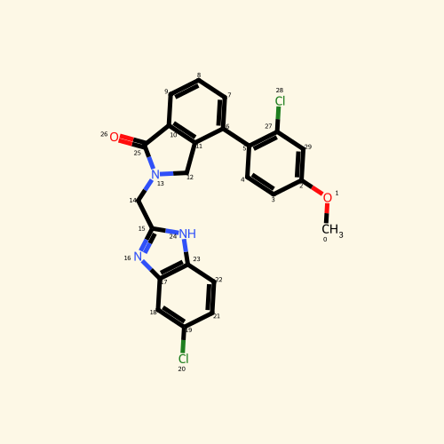 COc1ccc(-c2cccc3c2CN(Cc2nc4cc(Cl)ccc4[nH]2)C3=O)c(Cl)c1